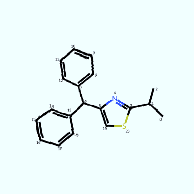 CC(C)c1nc(C(c2ccccc2)c2ccccc2)cs1